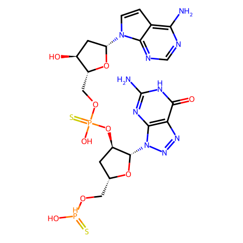 Nc1nc2c(nnn2[C@@H]2O[C@H](CO[PH](O)=S)C[C@H]2OP(O)(=S)OC[C@H]2O[C@@H](n3ccc4c(N)ncnc43)C[C@@H]2O)c(=O)[nH]1